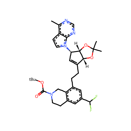 Cc1ncnc2c1ccn2[C@@H]1C=C(CCc2cc(C(F)F)cc3c2CN(C(=O)OC(C)(C)C)CC3)[C@H]2OC(C)(C)O[C@H]21